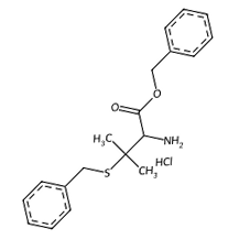 CC(C)(SCc1ccccc1)C(N)C(=O)OCc1ccccc1.Cl